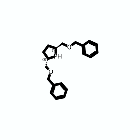 c1ccc(COC[C@@H]2CC[C@@H](COCc3ccccc3)P2)cc1